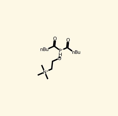 CCCCC(=O)[PH-](OCC[N+](C)(C)C)C(=O)CCCC